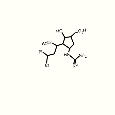 CCC(CC)CC(NC(C)=O)C1C(NC(=N)N)CC(C(=O)O)C1O